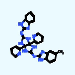 Cc1ccc2[nH]c(N=C3NC4(c5ccccn5)NC(=Nc5nc6ccccc6[nH]5)NC4(c4ccccn4)N3)nc2c1